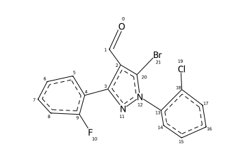 O=Cc1c(-c2ccccc2F)nn(-c2ccccc2Cl)c1Br